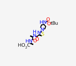 C=C(NC(=O)C(=C)NC(=O)c1csc(N2CCC(NC(=O)OC(C)(C)C)CC2)n1)C(=O)O